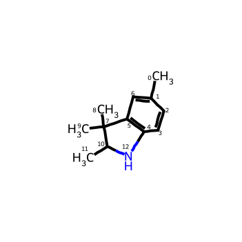 Cc1ccc2c(c1)C(C)(C)C(C)N2